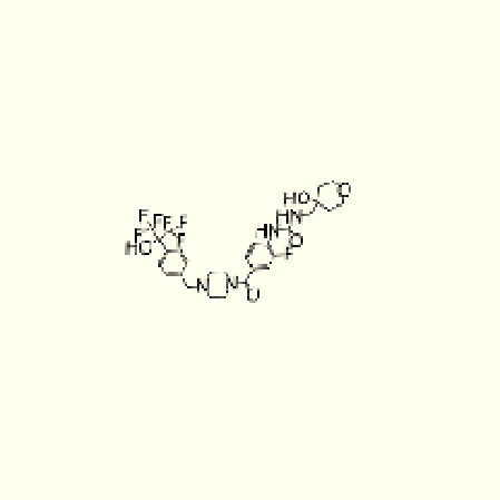 O=C(NCC1(O)CCOCC1)Nc1ccc(C(=O)N2CCN(Cc3ccc(C(O)(C(F)(F)F)C(F)(F)F)cc3)CC2)cc1F